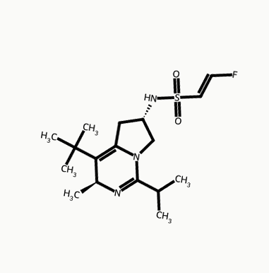 CC(C)C1=N[C@@H](C)C(C(C)(C)C)=C2C[C@H](NS(=O)(=O)/C=C/F)CN12